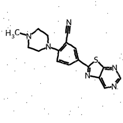 CN1CCN(c2ccc(-c3nc4cncnc4s3)cc2C#N)CC1